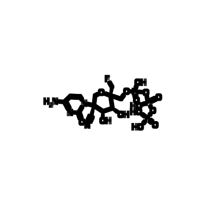 N#C[C@@]1(n2ccc(N)nc2=O)CO[C@](CF)(COP(=O)(O)OP(=O)(O)OP(=O)(O)O)[C@@H](O)[C@H]1O